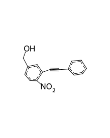 O=[N+]([O-])c1ccc(CO)cc1C#Cc1ccccc1